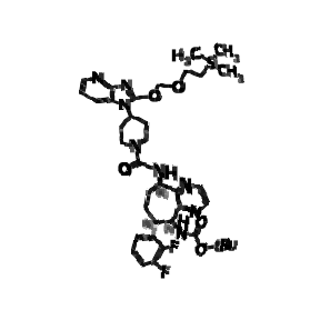 CC(C)(C)OC(=O)N[C@@H]1c2nccnc2[C@H](NC(=O)N2CCC(n3c(OCOCC[Si](C)(C)C)nc4ncccc43)CC2)CC[C@H]1c1cccc(F)c1F